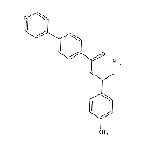 Cc1ccc(C(CN)NC(=O)c2ccc(-c3ccncc3)cc2)cc1